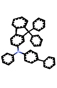 c1ccc(-c2ccc(N(c3ccccc3)c3ccc4c(c3)C(c3ccccc3)(c3ccccc3)c3ccccc3-4)cc2)cc1